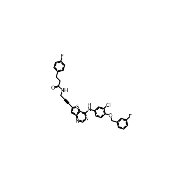 O=C(CCc1ccc(F)cc1)NCC#Cc1cc2ncnc(Nc3ccc(OCc4cccc(F)c4)c(Cl)c3)c2s1